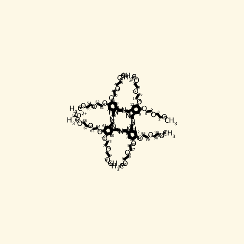 COCCOCCOc1cc2c(cc1OCCOCCOC)-c1nc-2nc2[nH]c(nc3nc(nc4[nH]c(n1)c1cc(OCCOCCOC)c(OCCOCCOC)cc41)-c1cc(OCCOCCOC)c(OCCOCCOC)cc1-3)c1cc(OCCOCCOC)c(OCCOCCOC)cc21.[Zn+2]